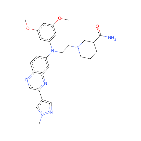 COc1cc(OC)cc(N(CCN2CCCC(C(N)=O)C2)c2ccc3ncc(-c4cnn(C)c4)nc3c2)c1